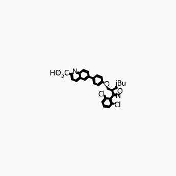 CCC(C)C1ON=C(c2c(Cl)cccc2Cl)C1COc1ccc(-c2ccc3nc(C(=O)O)ccc3c2)cc1